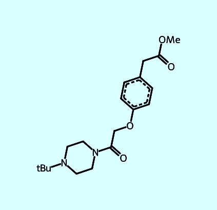 COC(=O)Cc1ccc(OCC(=O)N2CCN(C(C)(C)C)CC2)cc1